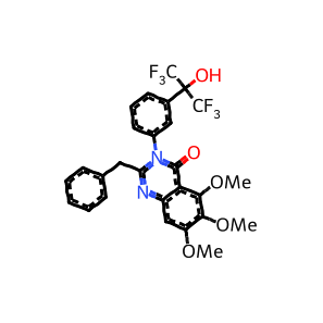 COc1cc2nc(Cc3ccccc3)n(-c3cccc(C(O)(C(F)(F)F)C(F)(F)F)c3)c(=O)c2c(OC)c1OC